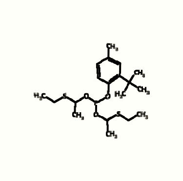 CCSC(C)OP(Oc1ccc(C)cc1C(C)(C)C)OC(C)SCC